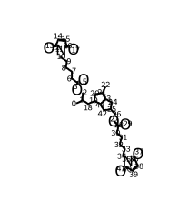 CC(COC(=O)CCCCCN1C(=O)C=CC1=O)CC1CC(C)C2CC(COC(=O)CCCCCN3C(=O)C=CC3=O)CC12